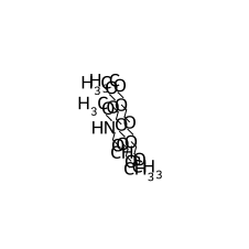 COCCNCCOC.COCCOCCOCCOCCOC.COCCOCCOCCOCCOC